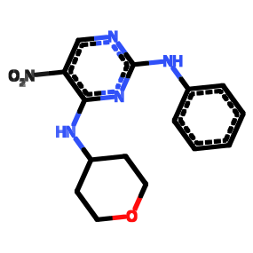 O=[N+]([O-])c1cnc(Nc2ccccc2)nc1NC1CCOCC1